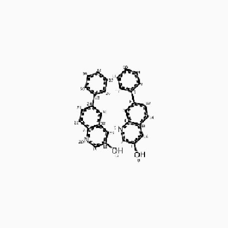 Oc1cnc2cc(-c3ccccc3)ccc2c1.Oc1cnc2ccc(-c3ccccc3)cc2c1